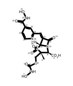 C[C@]1(COC(=O)NO)[C@H](C(=O)O)N2C(=O)/C(=C/c3cc(C(=O)NO)ccn3)[C@H]2S1(=O)=O